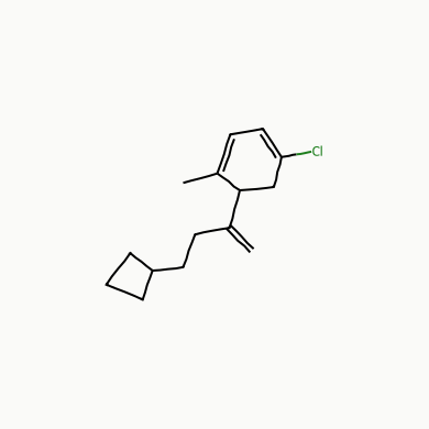 C=C(CCC1CCC1)C1CC(Cl)=CC=C1C